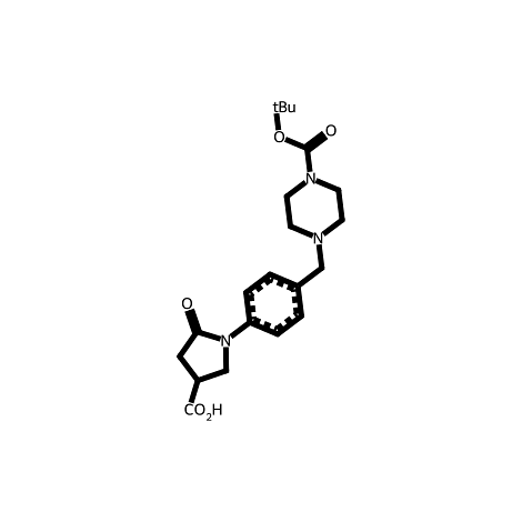 CC(C)(C)OC(=O)N1CCN(Cc2ccc(N3CC(C(=O)O)CC3=O)cc2)CC1